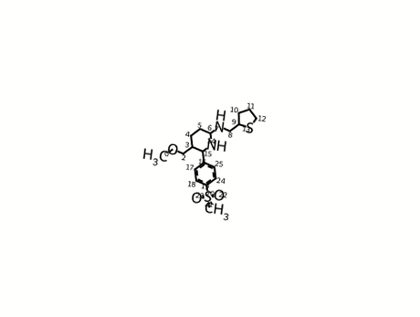 COCC1CCC(NCC2CCCS2)NC1c1ccc(S(C)(=O)=O)cc1